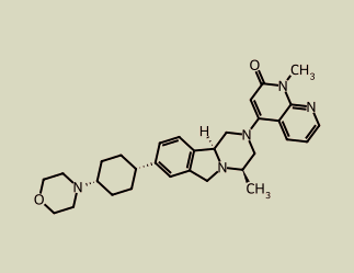 C[C@@H]1CN(c2cc(=O)n(C)c3ncccc23)C[C@@H]2c3ccc([C@H]4CC[C@@H](N5CCOCC5)CC4)cc3CN12